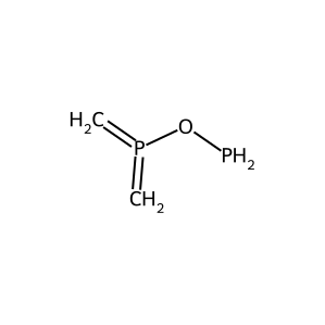 C=P(=C)OP